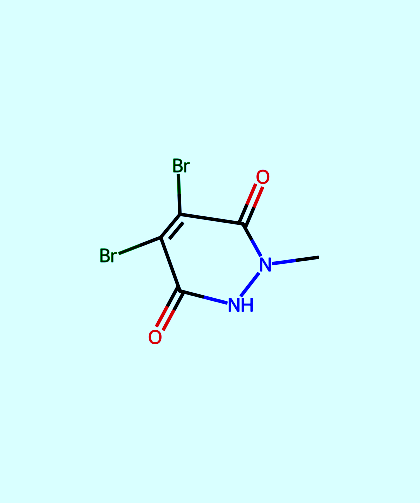 Cn1[nH]c(=O)c(Br)c(Br)c1=O